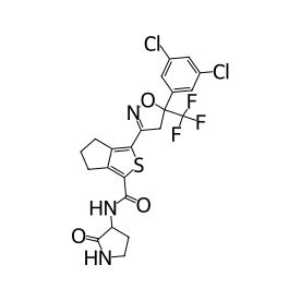 O=C(NC1CCNC1=O)c1sc(C2=NOC(c3cc(Cl)cc(Cl)c3)(C(F)(F)F)C2)c2c1CCC2